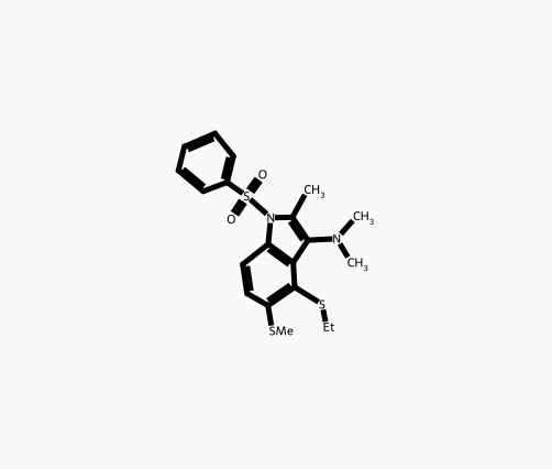 CCSc1c(SC)ccc2c1c(N(C)C)c(C)n2S(=O)(=O)c1ccccc1